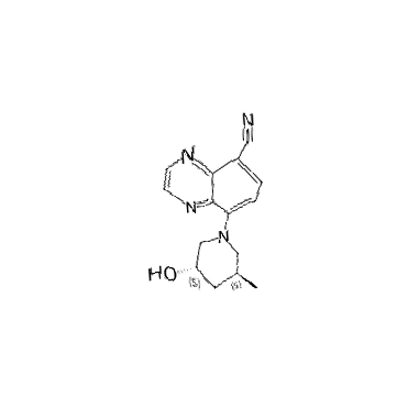 C[C@H]1C[C@H](O)CN(c2ccc(C#N)c3nccnc23)C1